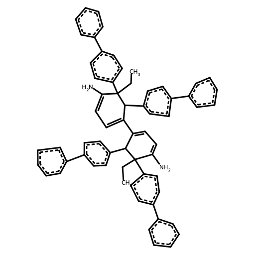 CCC1(c2ccc(-c3ccccc3)cc2)C(N)=CC=C(C2=CC=C(N)C(CC)(c3ccc(-c4ccccc4)cc3)C2c2ccc(-c3ccccc3)cc2)C1c1ccc(-c2ccccc2)cc1